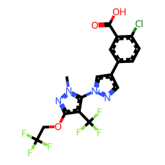 Cn1nc(OCC(F)(F)F)c(C(F)(F)F)c1-n1cc(-c2ccc(Cl)c(C(=O)O)c2)cn1